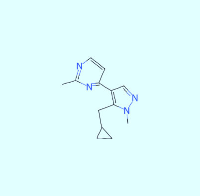 Cc1nccc(-c2cnn(C)c2CC2CC2)n1